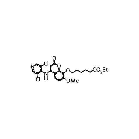 CCOC(=O)CCCCCOc1c(OC)ccc2c(Nc3c(Cl)cncc3Cl)cc(=O)oc12